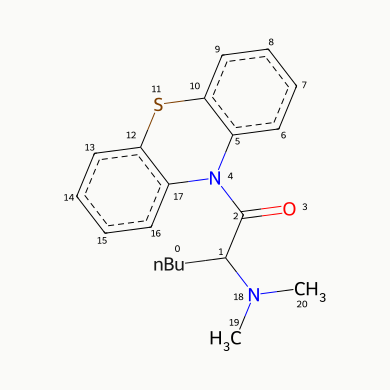 CCCCC(C(=O)N1c2ccccc2Sc2ccccc21)N(C)C